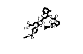 CCOC(=O)N1CCN(C(=O)C(CCC(=O)O)NC(=O)c2cc(OCC(=O)N3CCCC3C(=O)NC3CC3)c3c(C)cccc3n2)CC1